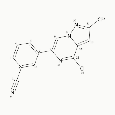 N#Cc1cccc(-c2cn3nc(Cl)cc3c(Cl)n2)c1